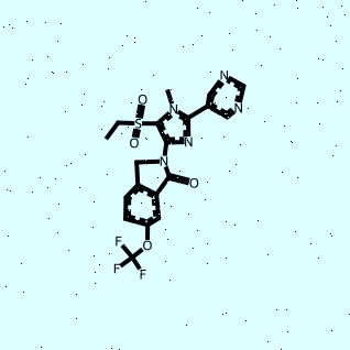 CCS(=O)(=O)c1c(N2Cc3ccc(OC(F)(F)F)cc3C2=O)nc(-c2cncnc2)n1C